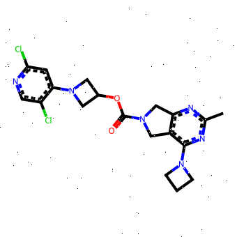 Cc1nc2c(c(N3CCC3)n1)CN(C(=O)OC1CN(c3cc(Cl)ncc3Cl)C1)C2